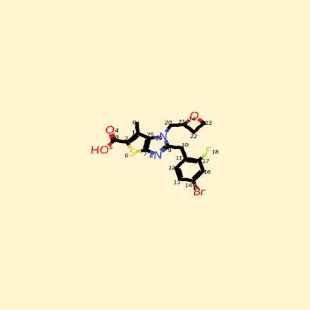 Cc1c(C(=O)O)sc2nc(Cc3ccc(Br)cc3F)n(CC3CCO3)c12